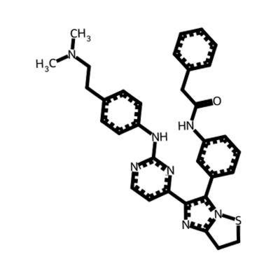 CN(C)CCc1ccc(Nc2nccc(-c3nc4n(c3-c3cccc(NC(=O)Cc5ccccc5)c3)SCC4)n2)cc1